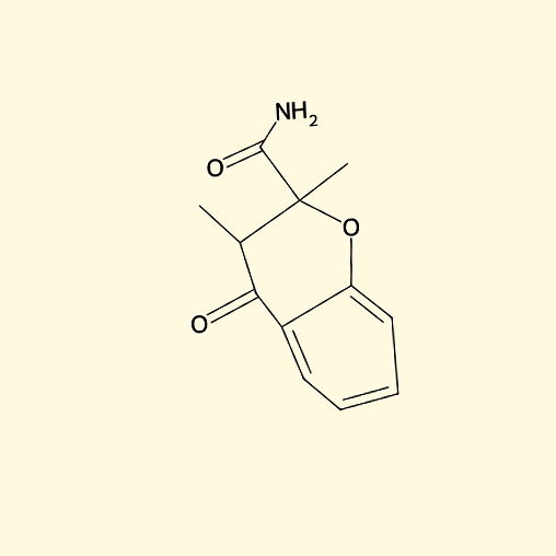 CC1C(=O)c2ccccc2OC1(C)C(N)=O